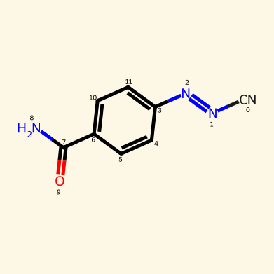 N#C/N=N/c1ccc(C(N)=O)cc1